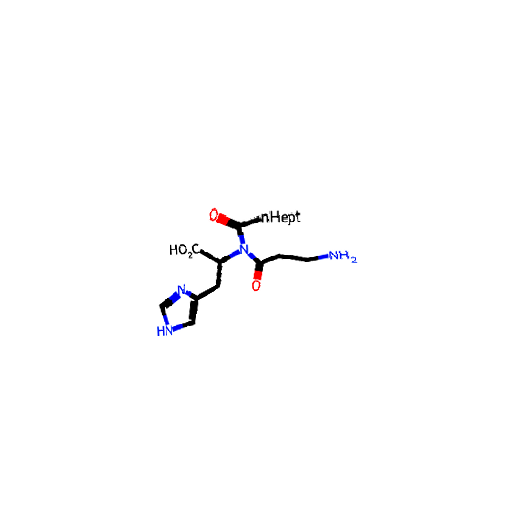 CCCCCCCC(=O)N(C(=O)CCN)C(Cc1c[nH]cn1)C(=O)O